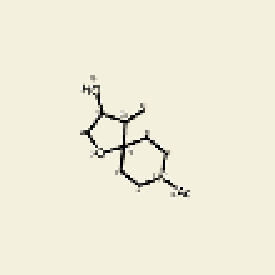 CC(=O)N1CCC2(CC1)OCC(O)C2C